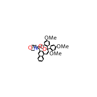 COc1ccc(C2(c3ccc(OC)cc3OC)C=Cc3c(c(C(=O)N4CCOCC4)cc4ccccc34)O2)c(OC)c1